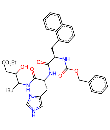 CCOC(=O)CC(O)C(NC(=O)[C@@H](Cc1c[nH]cn1)NC(=O)[C@@H](Cc1cccc2ccccc12)NC(=O)OCc1ccccc1)C(C)CC